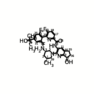 C[C@@H]1C[C@H](N)CN(c2nc3c(cc2NC(=O)c2ccc(F)c(-c4c(F)cc(C(C)(C)O)cc4F)n2)CC[C@H]3O)C1